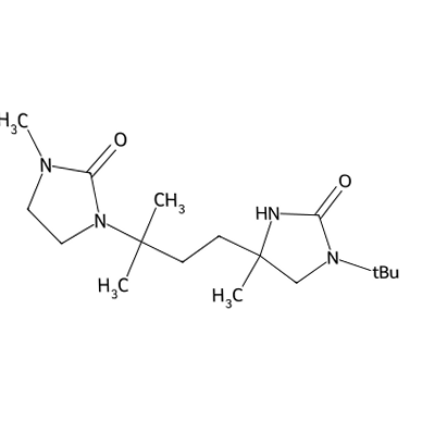 CN1CCN(C(C)(C)CCC2(C)CN(C(C)(C)C)C(=O)N2)C1=O